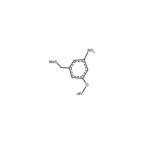 CCCOc1cc(CSC)cc([N+](=O)[O-])c1